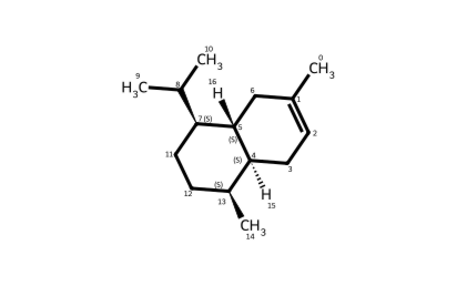 CC1=CC[C@@H]2[C@@H](C1)[C@H](C(C)C)CC[C@@H]2C